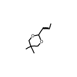 CC=CC1OCC(C)(C)CO1